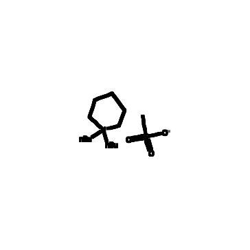 CCCC[N+]1(CCCC)CCCCC1.CS(=O)(=O)[O-]